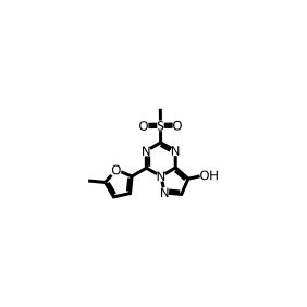 Cc1ccc(-c2nc(S(C)(=O)=O)nc3c(O)cnn23)o1